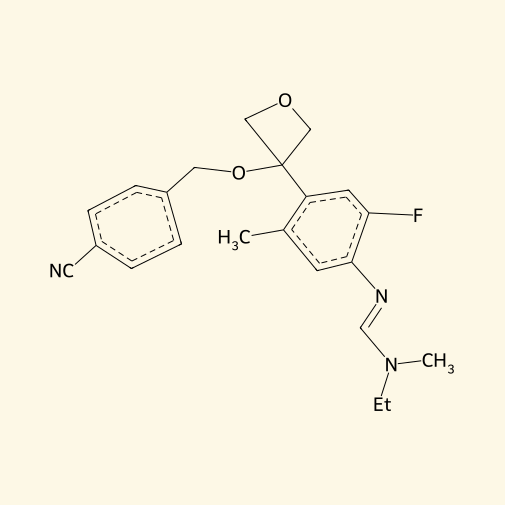 CCN(C)C=Nc1cc(C)c(C2(OCc3ccc(C#N)cc3)COC2)cc1F